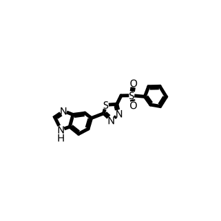 O=S(=O)(Cc1nnc(-c2ccc3[nH]cnc3c2)s1)c1ccccc1